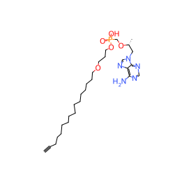 C#CCCCCCCCCCCCCCCOCCCOP(=O)(O)CO[C@H](C)Cn1cnc2c(N)ncnc21